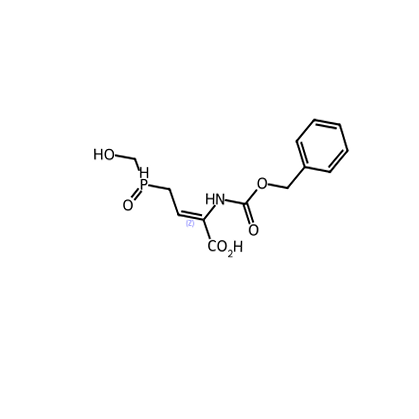 O=C(N/C(=C\C[PH](=O)CO)C(=O)O)OCc1ccccc1